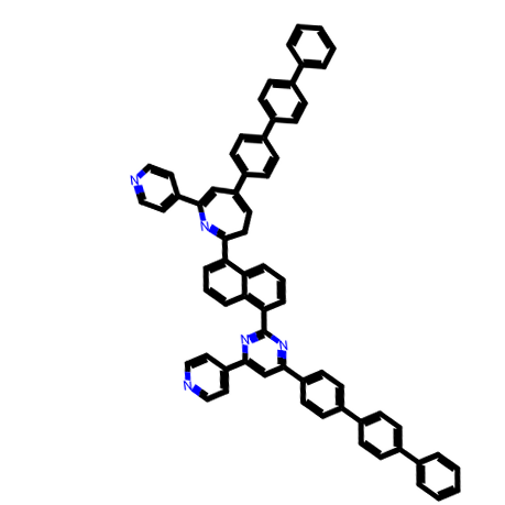 C1=C(c2ccc(-c3ccc(-c4ccccc4)cc3)cc2)C=C(c2ccncc2)N=C(c2cccc3c(-c4nc(-c5ccncc5)cc(-c5ccc(-c6ccc(-c7ccccc7)cc6)cc5)n4)cccc23)C1